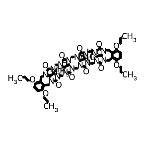 CCCOc1ccc(OCCC)c2c1CN1C(=O)N3CN4C(=O)N5CN6C(=O)N7CN8C(=O)N9Cc%10c(OCCC)ccc(OCCC)c%10CN%10C(=O)N(CN%11C(=O)N(CN%12C(=O)N(CN%13C(=O)N(C2)[C@]1(C)[C@]%133C)[C@@H]4[C@@H]5%12)[C@@H]6[C@@H]7%11)[C@]8(C)[C@]%109C